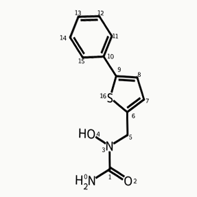 NC(=O)N(O)Cc1ccc(-c2ccccc2)s1